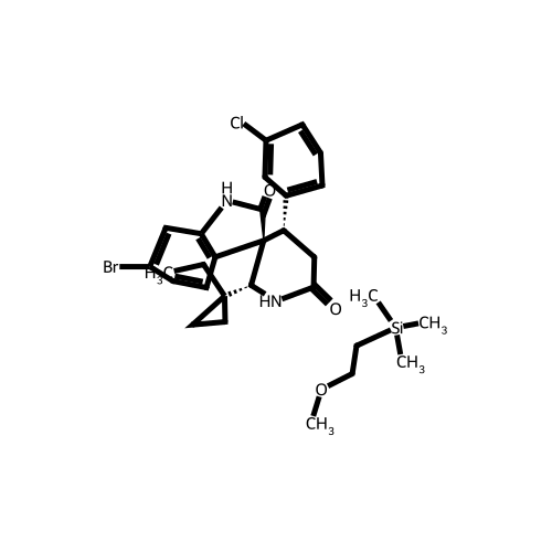 CCC1([C@H]2NC(=O)C[C@@H](c3cccc(Cl)c3)[C@]23C(=O)Nc2cc(Br)ccc23)CC1.COCC[Si](C)(C)C